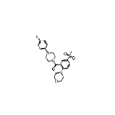 CS(=O)(=O)c1ccc(N2CCOCC2)c(C(=O)N2CCN(c3ccc(F)cc3)CC2)c1